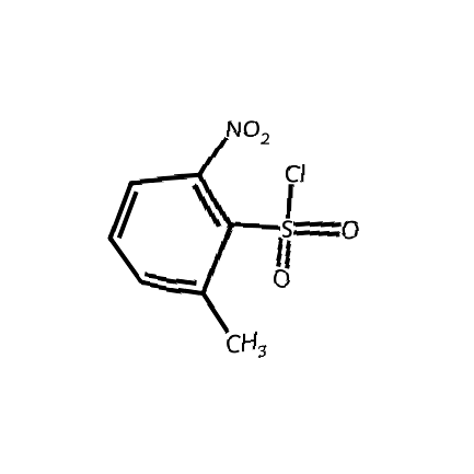 Cc1cccc([N+](=O)[O-])c1S(=O)(=O)Cl